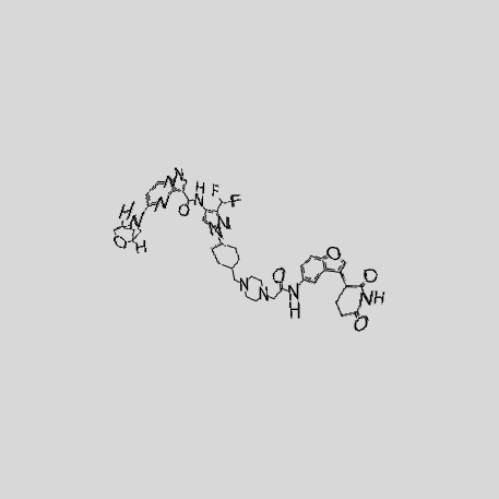 O=C1CC[C@@H](c2coc3ccc(NC(=O)CN4CCN(CC5CCC(n6cc(NC(=O)c7cnn8ccc(N9C[C@H]%10C[C@@H]9CO%10)nc78)c(C(F)F)n6)CC5)CC4)cc23)C(=O)N1